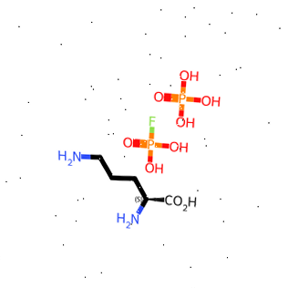 NCCC[C@H](N)C(=O)O.O=P(O)(O)F.O=P(O)(O)O